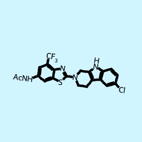 CC(=O)Nc1cc(C(F)(F)F)c2nc(N3CCc4c([nH]c5ccc(Cl)cc45)C3)sc2c1